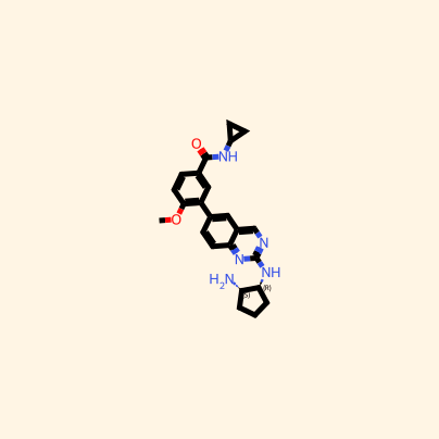 COc1ccc(C(=O)NC2CC2)cc1-c1ccc2nc(N[C@@H]3CCC[C@@H]3N)ncc2c1